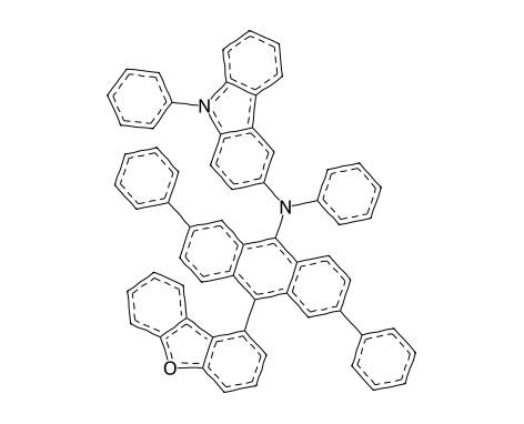 c1ccc(-c2ccc3c(N(c4ccccc4)c4ccc5c(c4)c4ccccc4n5-c4ccccc4)c4cc(-c5ccccc5)ccc4c(-c4cccc5oc6ccccc6c45)c3c2)cc1